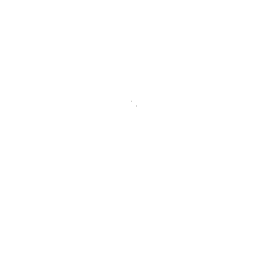 CC(C(=O)C(=O)N1CCCC1S(=O)(=O)O)c1ccccc1